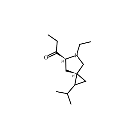 CCC(=O)[C@@H]1C[C@]2(CC2C(C)C)CN1CC